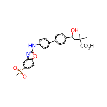 CC(C)(CC(O)c1ccc(-c2ccc(Nc3nc4cc(S(C)(=O)=O)ccc4o3)cc2)cc1)C(=O)O